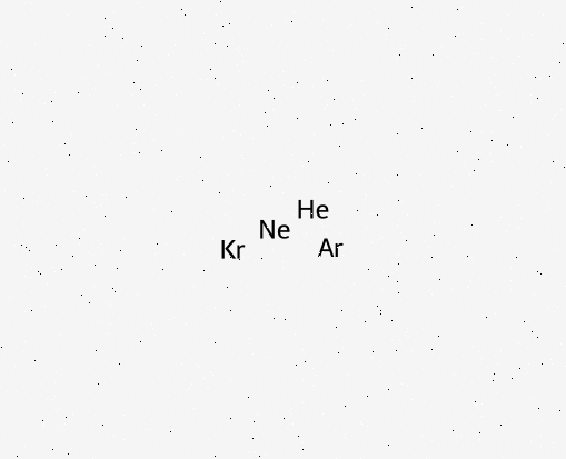 [Ar].[He].[Kr].[Ne]